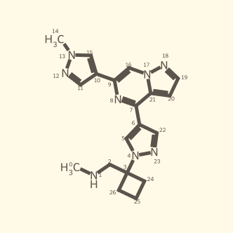 CNCC1(n2cc(-c3nc(-c4cnn(C)c4)cn4nccc34)cn2)CCC1